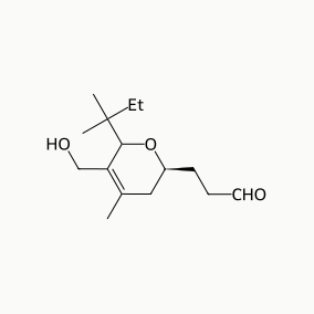 CCC(C)(C)C1O[C@@H](CCC=O)CC(C)=C1CO